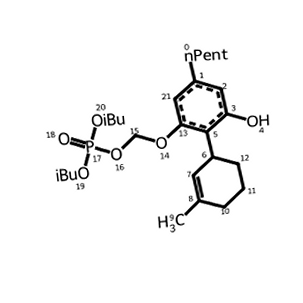 CCCCCc1cc(O)c(C2C=C(C)CCC2)c(OCOP(=O)(OCC(C)C)OCC(C)C)c1